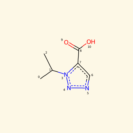 CC(C)n1nncc1C(=O)O